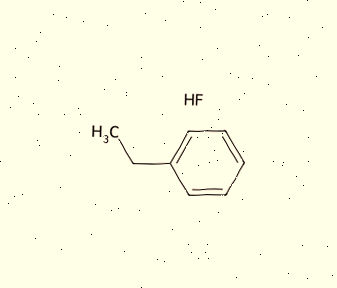 CCc1ccccc1.F